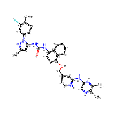 COc1ccc(-n2nc(C(C)(C)C)cc2NC(=O)Nc2ccc(OCc3ccnc(Nc4cnc(C)c(C)n4)c3)c3ccccc23)cc1F